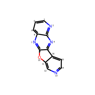 c1cnc2nc3c(nc2c1)oc1cnccc13